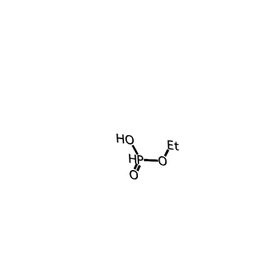 CCO[PH](=O)O